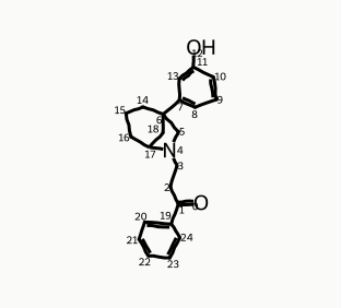 O=C(CCN1CC2(c3cccc(O)c3)CCCC1C2)c1ccccc1